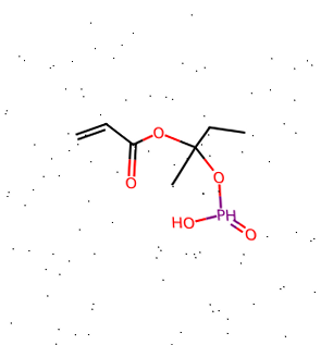 C=CC(=O)OC(C)(CC)O[PH](=O)O